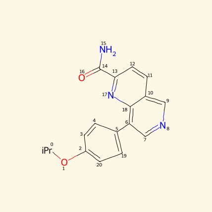 CC(C)Oc1ccc(-c2cncc3ccc(C(N)=O)nc23)cc1